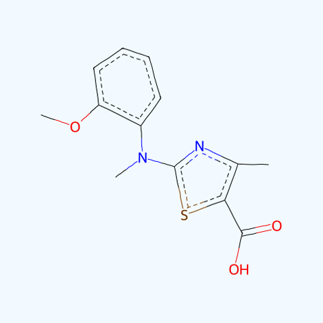 COc1ccccc1N(C)c1nc(C)c(C(=O)O)s1